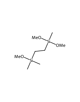 CO[Si](C)(C)CC[Si](C)(OC)OC